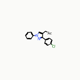 CC(=O)Cc1cn(-c2ccccc2)nc1-c1ccc(Cl)cc1